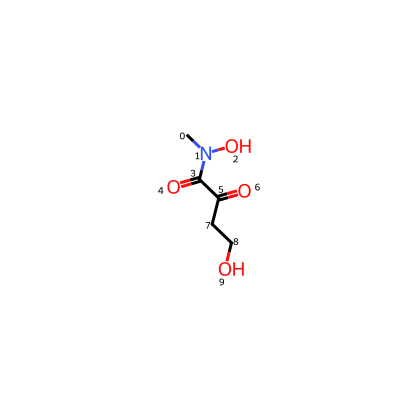 CN(O)C(=O)C(=O)CCO